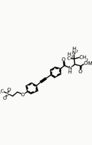 COC(=O)C(NC(=O)c1ccc(C#Cc2ccc(OCCS(C)(=O)=O)cc2)cc1)C(C)(C)N